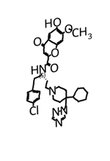 COc1cc2oc(C(=O)N[C@H](CCN3CCC(Cn4cncn4)(C4CCCCC4)CC3)Cc3ccc(Cl)cc3)cc(=O)c2cc1O